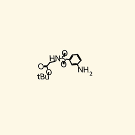 CC(C)(C)OC(=O)CCNS(=O)(=O)c1cccc(N)c1